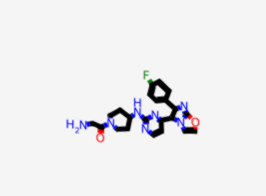 NCC(=O)N1CCC(Nc2nccc(C3C(c4ccc(F)cc4)N=C4OC=CN43)n2)CC1